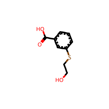 O=C(O)c1cccc(SCCO)c1